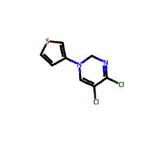 ClC1=CN(c2ccsc2)CN=C1Cl